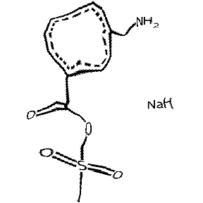 CS(=O)(=O)OC(=O)c1cccc(N)c1.[NaH]